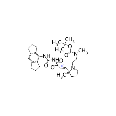 CN(CCN1CCC[C@@]1(C)/C=C/S(=O)(=O)NC(=O)Nc1c2c(cc3c1CCC3)CCC2)C(=O)OC(C)(C)C